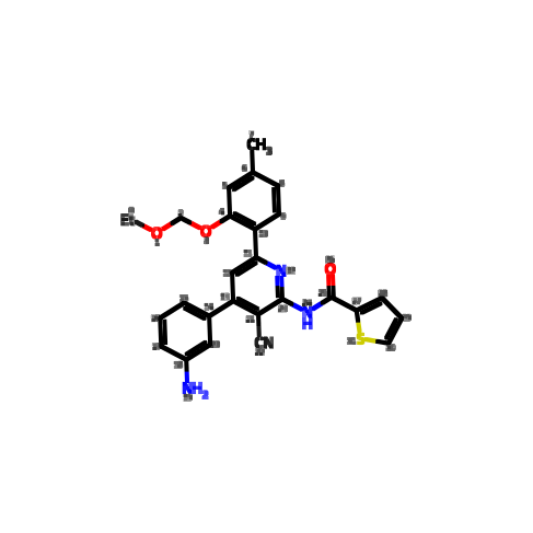 CCOCOc1cc(C)ccc1-c1cc(-c2cccc(N)c2)c(C#N)c(NC(=O)c2cccs2)n1